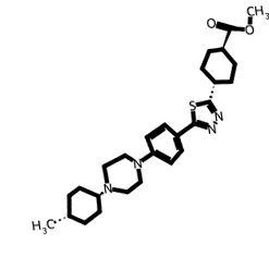 COC(=O)[C@H]1CC[C@H](c2nnc(-c3ccc(N4CCN([C@H]5CC[C@@H](C)CC5)CC4)cc3)s2)CC1